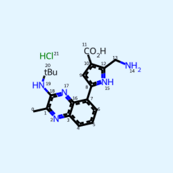 Cc1nc2cccc(-c3cc(C(=O)O)c(CN)[nH]3)c2nc1NC(C)(C)C.Cl